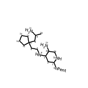 CCCCCC1CC(NCCC2(CC(C)N)CCCC2)C(N)CN1